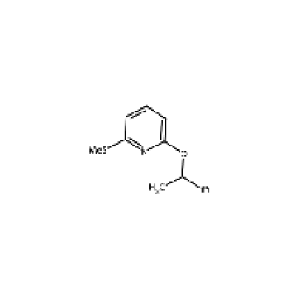 CSc1cccc(OC(C)C(C)C)n1